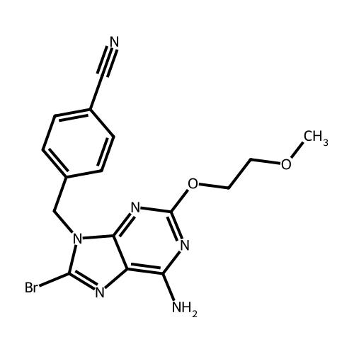 COCCOc1nc(N)c2nc(Br)n(Cc3ccc(C#N)cc3)c2n1